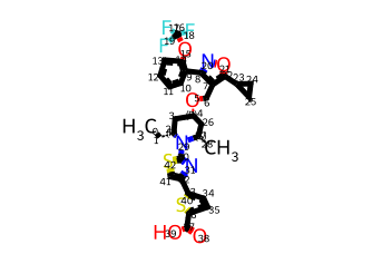 CC[C@@H]1C[C@H](OCc2c(-c3ccccc3OC(F)(F)F)noc2C2CC2)C[C@H](C)N1c1nc(-c2ccc(C(=O)O)s2)cs1